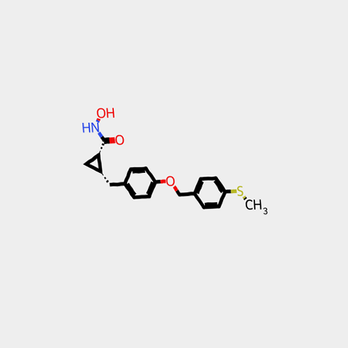 CSc1ccc(COc2ccc(C[C@@H]3C[C@@H]3C(=O)NO)cc2)cc1